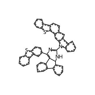 c1ccc2c(c1)C1=C(c3ccc4sc5ccccc5c4c3)N=C(n3c4ccccc4c4cc5ccc6c7ccccc7sc6c5cc43)NC1c1ccccc1-2